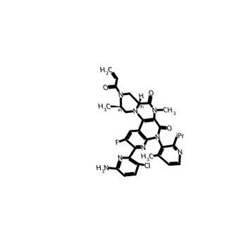 C=CC(=O)N1C[C@@H]2C(=O)N(C)c3c(c4cc(F)c(-c5nc(N)ccc5Cl)nc4n(-c4c(C)ccnc4C(C)C)c3=O)N2C[C@H]1C